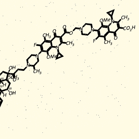 COc1c(N2CCN(COC(=O)c3c(C)n(C4CC4)c4c(OC)c(N5CCN(CCC(=O)[C@@]6(O)CC[C@H]7[C@@H]8CCC9=CC(=O)C=C[C@]9(C)[C@H]8[C@@H](O)C[C@@]76C)C(C)C5)c(F)c(C)c4c3=O)CC2)c(F)c(C)c2c(=O)c(C(=O)O)c(C)n(C3CC3)c12